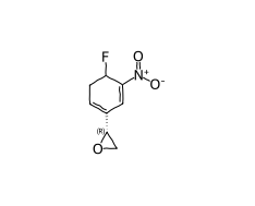 O=[N+]([O-])C1=CC([C@@H]2CO2)=CCC1F